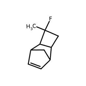 CC1(F)CC2C3C=CC(C3)C21